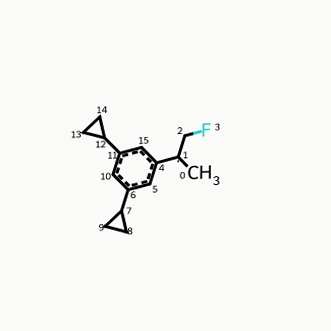 C[C](CF)c1cc(C2CC2)cc(C2CC2)c1